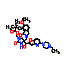 CCN1CCN(c2ccc3oc(C(=O)[C@@]4(CN5Cc6ccc(OC)cc6C5=O)CN(COC(=O)C(C)(C)C)C(=O)N4)cc3n2)CC1